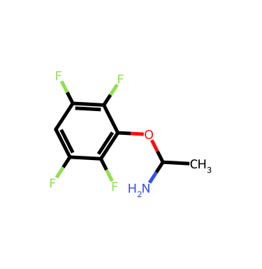 CC(N)Oc1c(F)c(F)cc(F)c1F